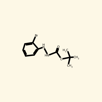 CC(C)(C)OC(=O)NNc1ccccc1Br